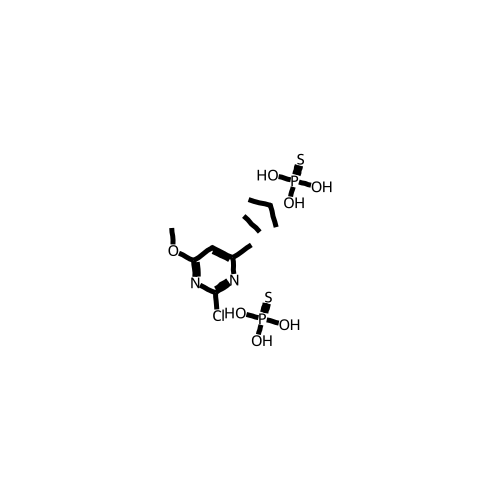 CC.CCC.COc1cc(C)nc(Cl)n1.OP(O)(O)=S.OP(O)(O)=S